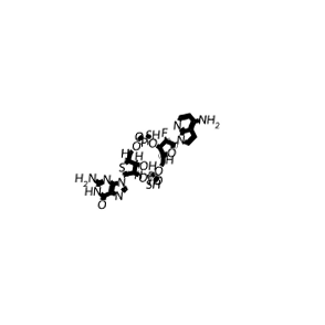 Nc1nc2c(ncn2[C@@H]2S[C@@H]3COP(=O)(S)OC4[C@@H](CO[P@@](=O)(S)O[C@@H]2[C@@H]3O)O[C@@H](n2ccc3c(N)ccnc32)[C@H]4F)c(=O)[nH]1